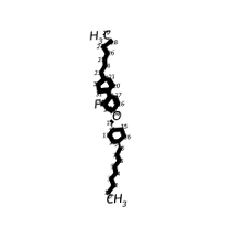 CCCCCCCCC[C@H]1CC[C@H](COc2ccc(-c3ccc(CCCCCCC)cc3)c(F)c2)CC1